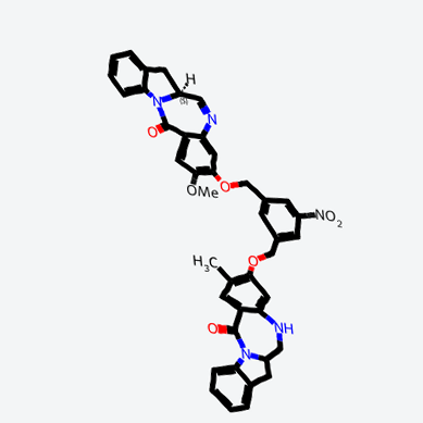 COc1cc2c(cc1OCc1cc(COc3cc4c(cc3C)C(=O)N3c5ccccc5CC3CN4)cc([N+](=O)[O-])c1)N=C[C@@H]1Cc3ccccc3N1C2=O